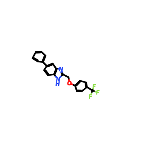 FC(F)(F)c1ccc(OCc2nc3cc(-c4ccccc4)ccc3[nH]2)cc1